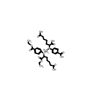 CCOC(=O)c1ccc(N(N)C(CCCCC(=O)O)C(=O)OCC)cc1.NN(c1ccc(C(=O)O)cc1)C(CCCCC(=O)O)C(=O)O